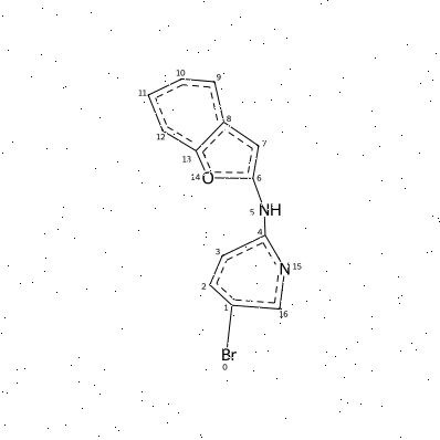 Brc1ccc(Nc2cc3ccccc3o2)nc1